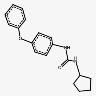 O=C(Nc1ccc(Oc2ccccc2)cc1)NC1CCCC1